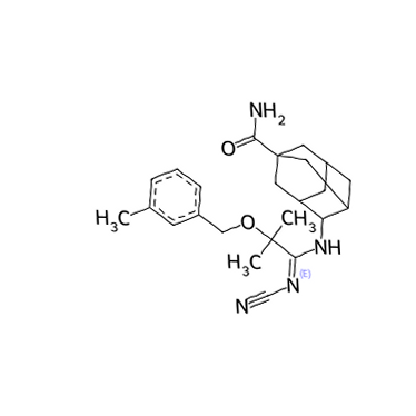 Cc1cccc(COC(C)(C)/C(=N\C#N)NC2C3CC4CC2CC(C(N)=O)(C4)C3)c1